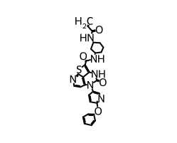 C=CC(=O)N[C@@H]1CCC[C@@H](NC(=O)c2sc3nccc4c3c2NC(=O)N4c2ccc(Oc3ccccc3)nc2)C1